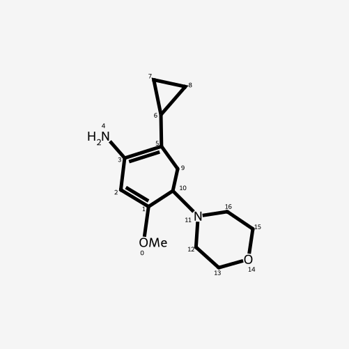 COC1=CC(N)=C(C2CC2)CC1N1CCOCC1